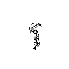 CC(C)(C)OC(=O)Nc1ccc(Oc2nc(-c3nnc(C4CC4)o3)cs2)cc1F